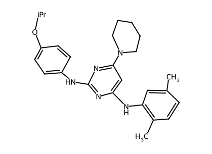 Cc1ccc(C)c(Nc2cc(N3CCCCC3)nc(Nc3ccc(OC(C)C)cc3)n2)c1